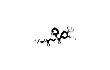 CCOC(=O)CCN(C(=O)C1=CC(N)C(NC)C=C1)c1ccccn1